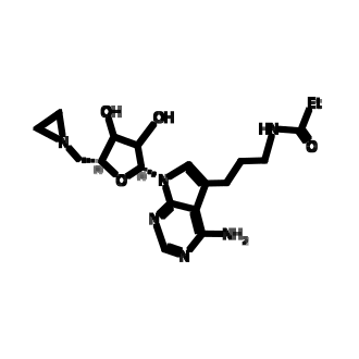 CCC(=O)NCCCc1cn([C@@H]2O[C@H](CN3CC3)C(O)C2O)c2ncnc(N)c12